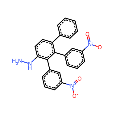 NNc1ccc(-c2ccccc2)c(-c2cccc([N+](=O)[O-])c2)c1-c1cccc([N+](=O)[O-])c1